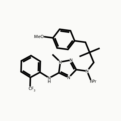 CCCN(CC(C)(C)Cc1ccc(OC)cc1)c1nc(Nc2ccccc2C(F)(F)F)n(C)n1